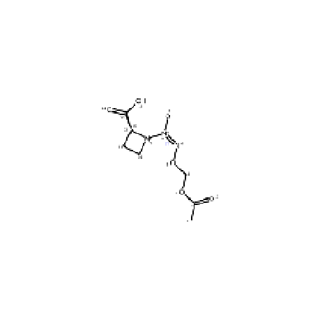 CC(=O)OCO/N=[N+](/[O-])N1CC[C@H]1C(=O)O